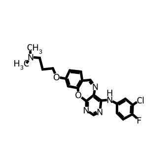 CN(C)CCCOc1ccc2c(c1)Oc1ncnc(Nc3ccc(F)c(Cl)c3)c1N=C2